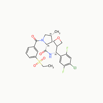 CCS(=O)(=O)c1cccc(C(=O)N2C[C@H](C)C[C@@H]2C(=O)N[C@@H](c2cc(F)c(Cl)cc2F)C2COC2)c1